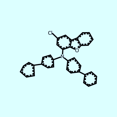 Clc1cc(N(c2ccc(-c3ccccc3)cc2)c2ccc(-c3ccccc3)cc2)c2oc3ccccc3c2c1